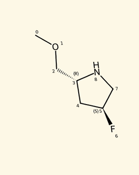 COC[C@H]1C[C@H](F)CN1